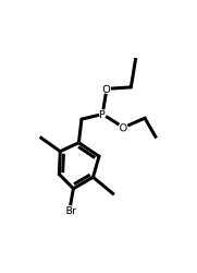 CCOP(Cc1cc(C)c(Br)cc1C)OCC